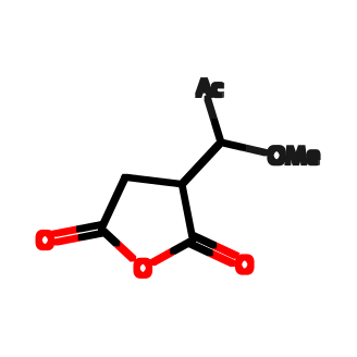 COC(C(C)=O)C1CC(=O)OC1=O